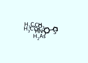 CC(C)(C)OC(=O)Nc1ccc(-c2cccs2)cc1[AsH2]